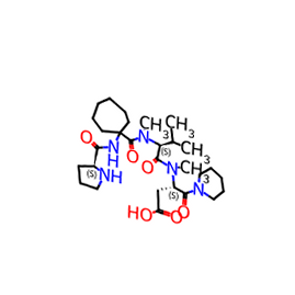 CC(C)[C@@H](C(=O)N(C)[C@@H](CC(=O)O)C(=O)N1CCCCC1)N(C)C(=O)C1(NC(=O)[C@@H]2CCCN2)CCCCCC1